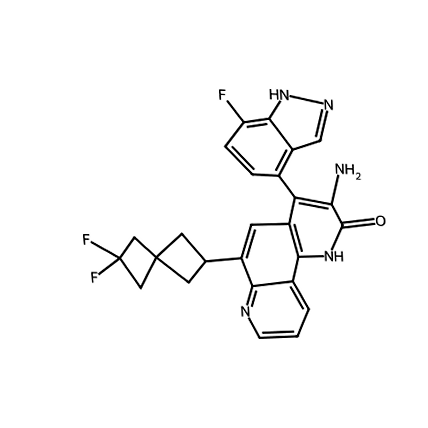 Nc1c(-c2ccc(F)c3[nH]ncc23)c2cc(C3CC4(C3)CC(F)(F)C4)c3ncccc3c2[nH]c1=O